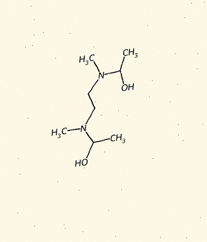 CC(O)N(C)CCN(C)C(C)O